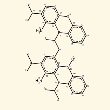 CC(C)c1cc(CC(C)P2c3ccccc3Sc3ccc(C(C)C)c(N)c32)c2c(c1N)P(C(C)C)c1ccccc1[S+]2[O-]